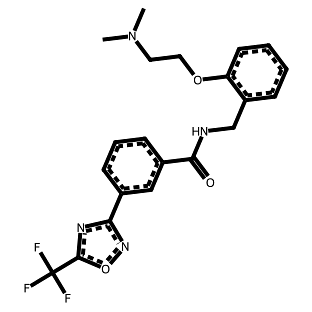 CN(C)CCOc1ccccc1CNC(=O)c1cccc(-c2noc(C(F)(F)F)n2)c1